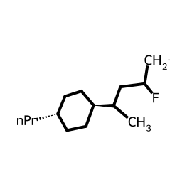 [CH2]C(F)CC(C)[C@H]1CC[C@H](CCC)CC1